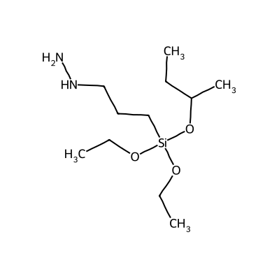 CCO[Si](CCCNN)(OCC)OC(C)CC